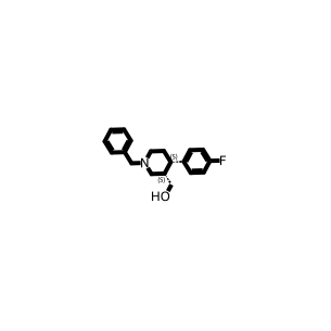 OC[C@@H]1CN(Cc2ccccc2)CC[C@@H]1c1ccc(F)cc1